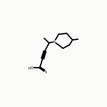 CC1CCN(C(C)C#CC(O)=S)CC1